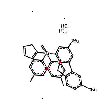 Cl.Cl.[CH2]=[Zr]([C]1=CC=CC1)([c]1ccc(C)cc1)([c]1ccc(C)cc1)[c]1cc(C(C)(C)C)cc2c1Cc1ccc(C(C)(C)C)cc1-2